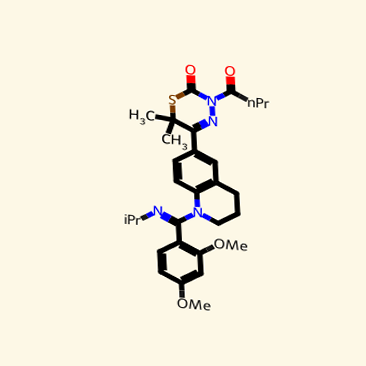 CCCC(=O)N1N=C(c2ccc3c(c2)CCCN3C(=NC(C)C)c2ccc(OC)cc2OC)C(C)(C)SC1=O